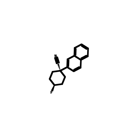 N#C[C@]1(c2ccc3ccccc3c2)CC[C@@H](F)CC1